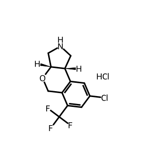 Cl.FC(F)(F)c1cc(Cl)cc2c1CO[C@@H]1CNC[C@H]21